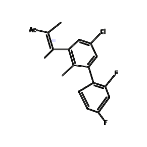 CC(=O)/C(C)=C(\C)c1cc(Cl)cc(-c2ccc(F)cc2F)c1C